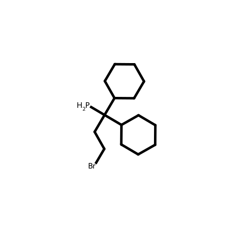 PC(CCBr)(C1CCCCC1)C1CCCCC1